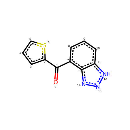 O=C(c1cccs1)c1cccc2[nH]nnc12